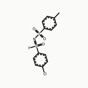 Cc1ccc(S(=O)(=O)N=S(=O)(F)c2ccc(Cl)cc2)cc1